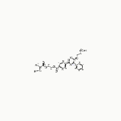 CCCCCCCCCCCCOC(=O)/C(=N\Nc1ccc(C(=O)OCCOC(=O)C(CC(C)C)C(C)C)cc1)c1ccccc1